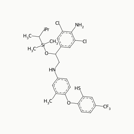 Cc1cc(NCC(O[Si](C)(C)C(C)C(C)C)c2cc(Cl)c(N)c(Cl)c2)ccc1Oc1ccc(C(F)(F)F)cc1S